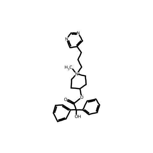 C[N+]1(CCCc2cncnc2)CCC(OC(=O)C(O)(c2ccccc2)c2ccccc2)CC1